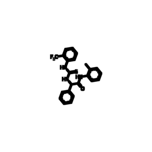 Cc1ccccc1NC(=O)C(NC(=S)Nc1ccccc1C(F)(F)F)c1ccccc1